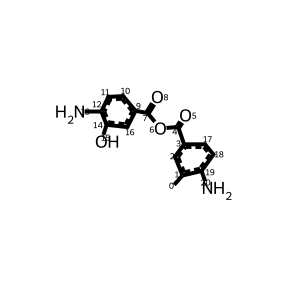 Cc1cc(C(=O)OC(=O)c2ccc(N)c(O)c2)ccc1N